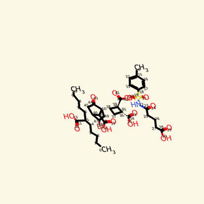 CCCCCC(CCCCC)C(=O)O.Cc1ccc(S(=O)(=O)NC(=O)CCCC(=O)O)cc1.O=C(O)[C@@H]1CC[C@H]1C(=O)O.O=C1CC2C(Br)CC1C2C(=O)O